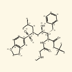 CNCC(=O)NN(C(=O)CC(C)(C)C)[C@@H](Cc1ccccc1)[C@H](O)CN(CC(C)C)S(=O)(=O)c1ccc2c(c1)OCO2